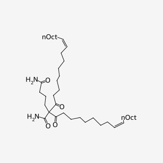 CCCCCCCC/C=C\CCCCCCCC(=O)C(CCCC(N)=O)(C(N)=O)C(=O)CCCCCCC/C=C\CCCCCCCC